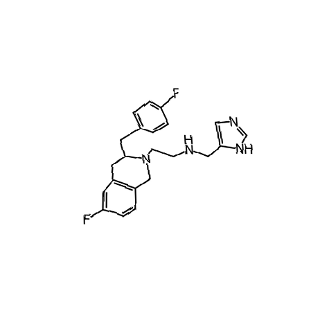 Fc1ccc(CC2Cc3cc(F)ccc3CN2CCNCc2cnc[nH]2)cc1